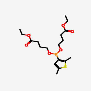 CCOC(=O)CCCOP(OCCCC(=O)OCC)c1cc(C)sc1C